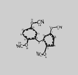 N#COc1ccc(OC#N)c(Cc2cc(OC#N)ccc2OC#N)c1